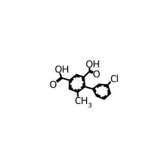 Cc1cc(C(=O)O)cc(C(=O)O)c1-c1cccc(Cl)c1